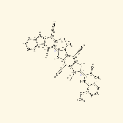 COc1ccccc1N/C(C(C)=O)=C1/Sc2c(C#N)c3c(c(C#N)c2N1C)S/C(=c1/c(C)c(C#N)c2nc4ccccc4n2c1=O)N3C